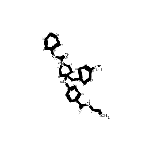 C=CCOC(=O)c1ccc(OC2(Cc3ccc(C(F)(F)F)cc3)CCN(C(=O)Oc3ccccc3)CC2)cc1